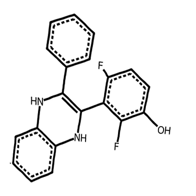 Oc1ccc(F)c(C2=C(c3ccccc3)Nc3c[c]ccc3N2)c1F